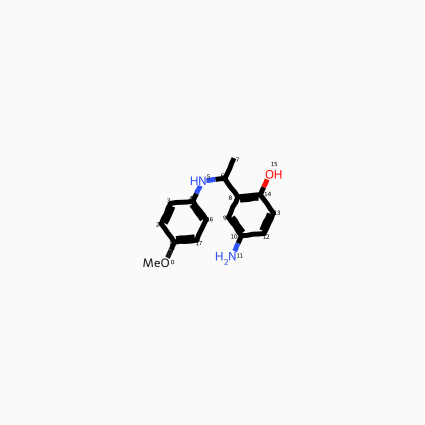 COc1ccc(NC(C)c2cc(N)ccc2O)cc1